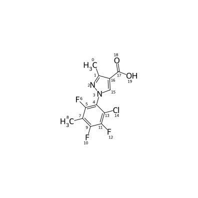 Cc1nn(-c2c(F)c(C)c(F)c(F)c2Cl)cc1C(=O)O